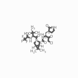 CC(C)(C)[C@H](NC(=O)C(F)(F)F)C(=O)N1C[C@H]2[C@@H]([C@H]1C(=O)N[C@@H](C[C@@H]1CCNC1=O)C(=O)CCl)C2(C)C